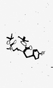 CN(CCC[C@H](Cc1ccc(Br)cc1)C(=O)OC(C)(C)C)C(=O)OC(C)(C)C